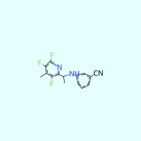 Cc1c(F)c(F)nc(C(C)Nc2cccc(C#N)c2)c1F